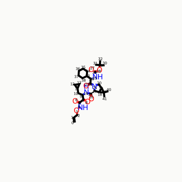 C=CCONC(=O)C(=O)C(CC1CC1)NC(=O)[C@@H]1C2C(CN1C(=O)[C@@H](NC(=O)OC(C)(C)C)C1CCCCC1)C2(C)C